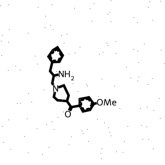 COc1ccc(C(=O)C2CCN(CC(N)Cc3ccccc3)CC2)cc1